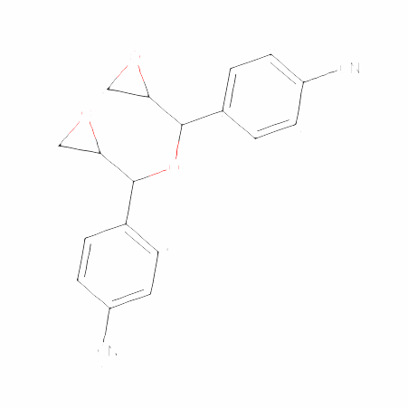 N#Cc1ccc(C(OC(c2ccc(C#N)cc2)C2CO2)C2CO2)cc1